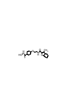 Cc1c(C(=O)NCCOc2ccc(C(=S)NO)cc2)oc2ccccc12